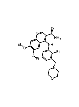 CCOc1cc2ncc(C(N)=O)c(Nc3cccc(CN4CCOCC4)c3CC)c2cc1OCC